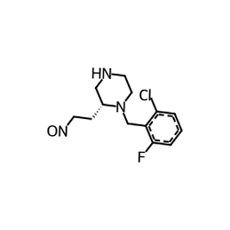 O=NCC[C@@H]1CNCCN1Cc1c(F)cccc1Cl